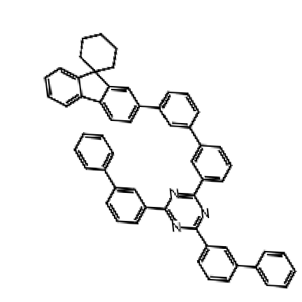 c1ccc(-c2cccc(-c3nc(-c4cccc(-c5ccccc5)c4)nc(-c4cccc(-c5cccc(-c6ccc7c(c6)C6(CCCCC6)c6ccccc6-7)c5)c4)n3)c2)cc1